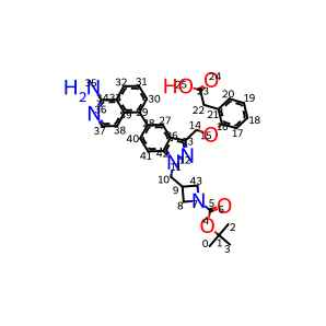 CC(C)(C)OC(=O)N1CC(Cn2nc(COc3ccccc3CC(=O)O)c3cc(-c4cccc5c(N)nccc45)ccc32)C1